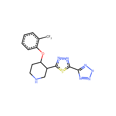 FC(F)(F)c1ccccc1OC1CCNCC1c1nnc(C2=N[N]N=N2)s1